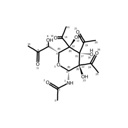 CC(=O)N[C@@H]1O[C@H](C(O)C(C)=O)[C@](O)(C(C)=O)[C@@](O)(C(C)=O)[C@]1(O)C(C)=O